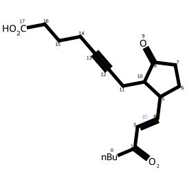 CCCCC(=O)/C=C/C1CCC(=O)C1CC#CCCCC(=O)O